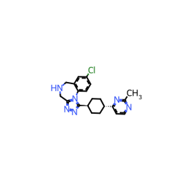 Cc1nccc([C@H]2CC[C@H](c3nnc4n3-c3ccc(Cl)cc3CNC4)CC2)n1